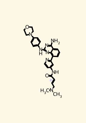 CN(C)C/C=C/C(=O)Nc1ccnc(-c2cccc3c(N)nc(Nc4ccc(N5CCOCC5)cc4)nc23)c1